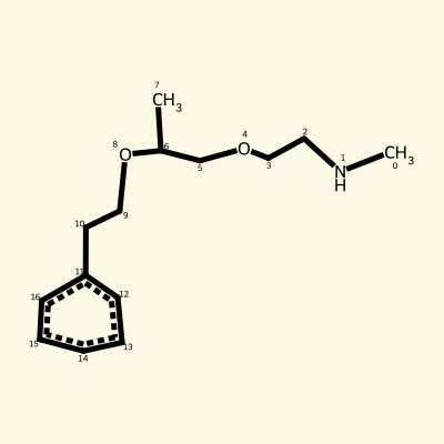 CNCCOCC(C)OCCc1ccccc1